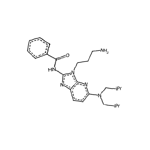 CC(C)CN(CC(C)C)c1ccc2nc(NC(=O)c3ccccc3)n(CCCN)c2n1